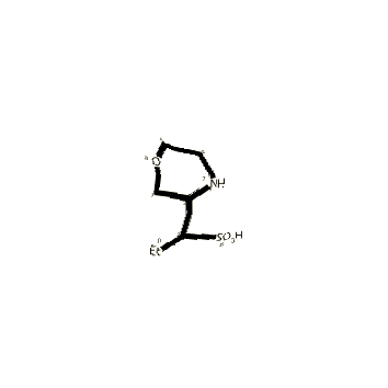 CCC(C1COCCN1)S(=O)(=O)O